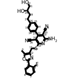 Cc1oc(-c2ccccc2F)nc1CSc1nc(N)c(C#N)c(-c2ccc(CC[C@@H](O)CO)cc2)c1C#N